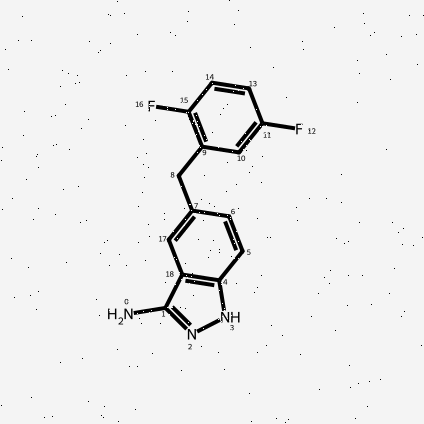 Nc1n[nH]c2ccc(Cc3cc(F)ccc3F)cc12